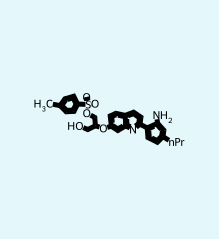 CCCc1ccc(-c2ccc3ccc(OC(CO)COS(=O)(=O)c4ccc(C)cc4)cc3n2)c(N)c1